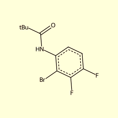 CC(C)(C)C(=O)Nc1ccc(F)c(F)c1Br